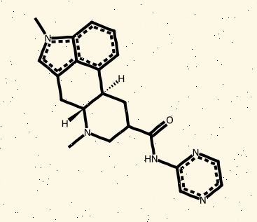 CN1CC(C(=O)Nc2cnccn2)C[C@@H]2c3cccc4c3c(cn4C)C[C@H]21